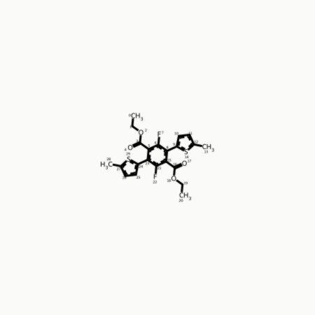 CCOC(=O)c1c(F)c(-c2ccc(C)s2)c(C(=O)OCC)c(F)c1-c1ccc(C)s1